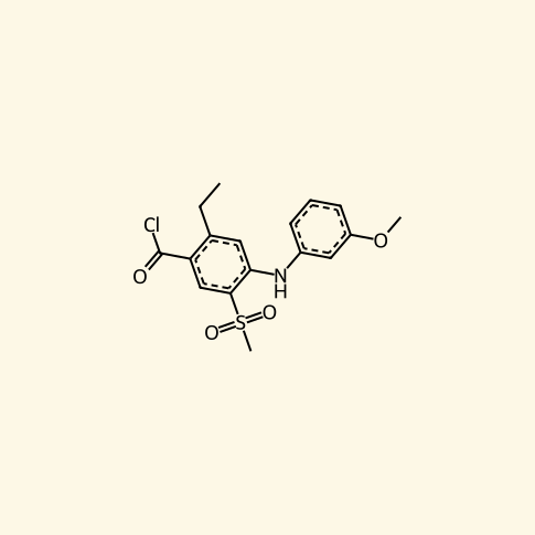 CCc1cc(Nc2cccc(OC)c2)c(S(C)(=O)=O)cc1C(=O)Cl